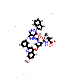 CC[C@@H]1C[C@]1(NC(=O)[C@@H]1C[C@@H](Oc2cc(-c3ccccc3)nc3cc(OC)ccc23)CN1C(=O)N[C@H](C(=O)N[C@H]1CCc2ccccc21)C(C)C)C(=O)O